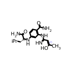 C/C(O)=C/C(=N)Nc1cc(N[C@H](CC(C)C)C(N)=O)ccc1C(N)=O